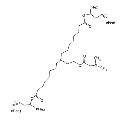 CCCCC/C=C\CC(CCCCCC)OC(=O)CCCCCCCN(CCCCCCCC(=O)OC(C/C=C\CCCCC)CCCCCC)CCOC(=O)CN(C)C